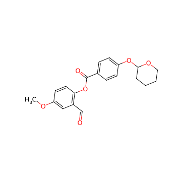 COc1ccc(OC(=O)c2ccc(OC3CCCCO3)cc2)c(C=O)c1